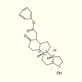 C[C@]12CC[C@H]3[C@@H](CCC4C(CC(=O)Oc5ccccc5)C(=O)CC[C@@]43C)[C@@H]1CC[C@@H]2O